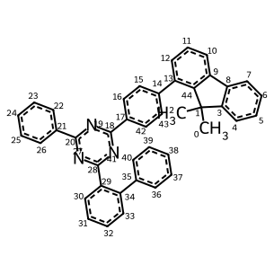 CC1(C)c2ccccc2-c2cccc(-c3ccc(-c4nc(-c5ccccc5)nc(-c5ccccc5-c5ccccc5)n4)cc3)c21